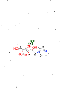 Cl.Cl.OC[C@@H](O)[C@@H](O)[C@H](O)[C@@H](O)CN1CCNCC1